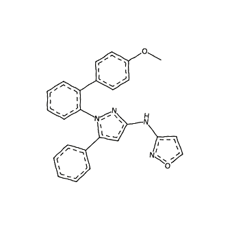 COc1ccc(-c2ccccc2-n2nc(Nc3ccon3)cc2-c2ccccc2)cc1